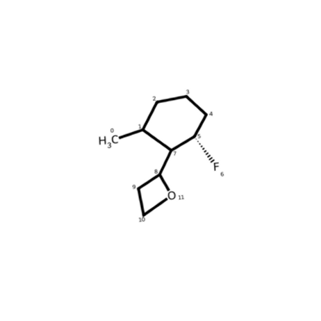 CC1CCC[C@H](F)C1C1CCO1